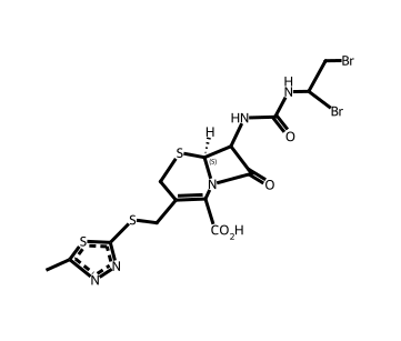 Cc1nnc(SCC2=C(C(=O)O)N3C(=O)C(NC(=O)NC(Br)CBr)[C@@H]3SC2)s1